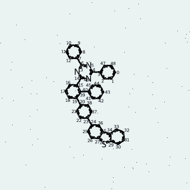 c1ccc(-c2nc(-c3ccccc3)nc(-c3cccc(-c4ccc(-c5ccc6sc7ccccc7c6c5)cc4)c3-c3ccccc3)n2)cc1